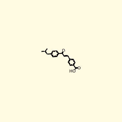 CC(C)Cc1ccc(C(=O)/C=C/c2ccc(C(=O)O)cc2)cc1